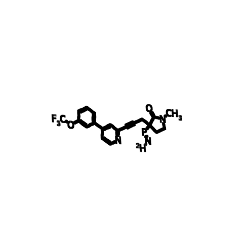 [2H]/N=P/C1(CC#Cc2cc(-c3cccc(OC(F)(F)F)c3)ccn2)CCN(C)C1=O